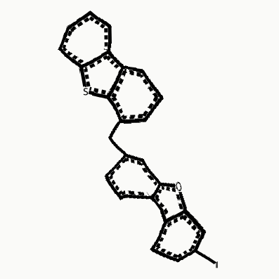 Ic1ccc2c(c1)oc1cc(Cc3cccc4c3sc3ccccc34)ccc12